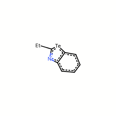 CCc1nc2ccccc2[te]1